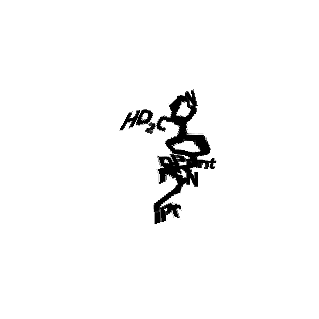 CCCCCn1nc(CCC(C)C)nc1Cc1ccc(-c2cnccc2C(=O)O)cc1